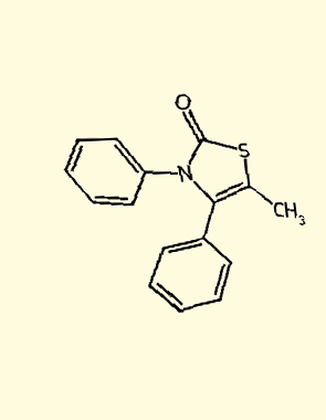 Cc1sc(=O)n(-c2ccccc2)c1-c1ccccc1